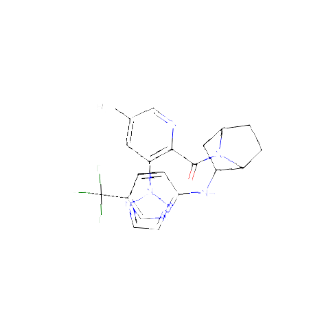 Cc1cnc(C(=O)N2C3CCC2C(Nc2ccc(C(F)(F)F)cn2)C3)c(-n2nccn2)c1